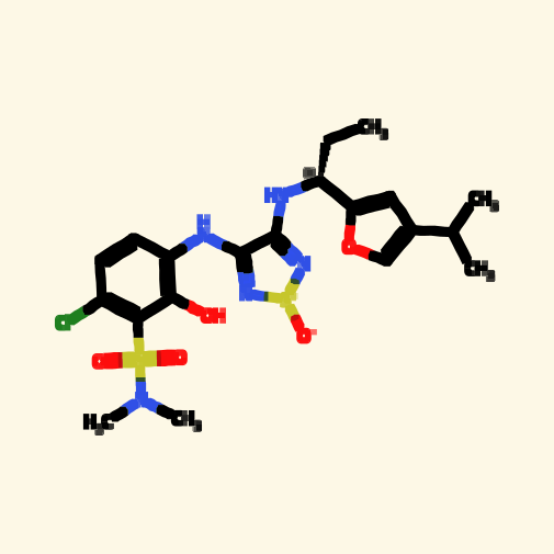 CC[C@@H](Nc1n[s+]([O-])nc1Nc1ccc(Cl)c(S(=O)(=O)N(C)C)c1O)c1cc(C(C)C)co1